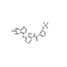 Cc1c(NC(=O)c2cccc(OC(F)(F)F)c2)cccc1Oc1ccnc2[nH]c(=O)[nH]c12